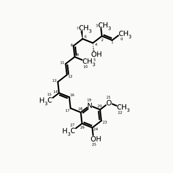 C/C=C(\C)[C@H](O)[C@H](C)/C=C(C)/C=C/C/C(C)=C/Cc1nc(OC)cc(O)c1C